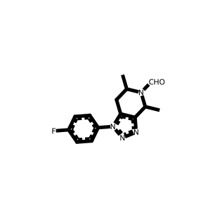 CC1Cc2c(nnn2-c2ccc(F)cc2)C(C)N1C=O